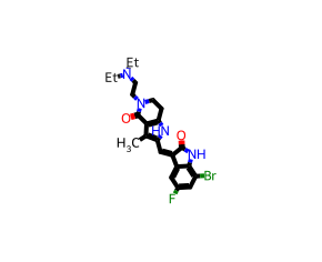 CCN(CC)CCN1CCc2[nH]c(C=C3C(=O)Nc4c(Br)cc(F)cc43)c(C)c2C1=O